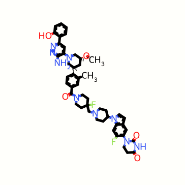 CO[C@@H]1C[C@H](c2ccc(C(=O)N3CCC(F)(CN4CCC(n5ccc6cc(N7CCC(=O)NC7=O)c(F)cc65)CC4)CC3)cc2C)CN(c2cc(-c3ccccc3O)nnc2N)C1